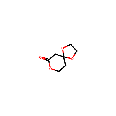 O=C1CC2(CCO1)OCCO2